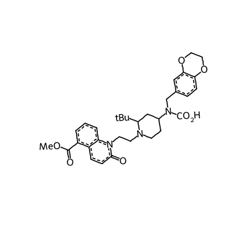 COC(=O)c1cccc2c1ccc(=O)n2CCN1CCC(N(Cc2ccc3c(c2)OCCO3)C(=O)O)CC1C(C)(C)C